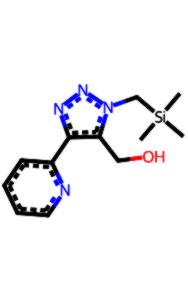 C[Si](C)(C)Cn1nnc(-c2ccccn2)c1CO